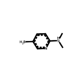 Bc1ccc([SiH](C)C)nc1